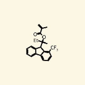 C=C(C)C(=O)OC(C)(CC)C1c2ccccc2-c2cccc(C(F)(F)F)c21